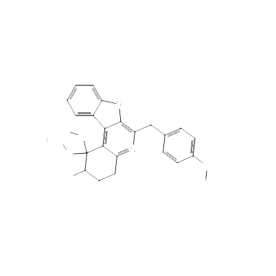 COc1ccc(Cc2nc3c(c4c2[nH]c2ccccc24)C(OC)(OC)C(O)CC3)cc1